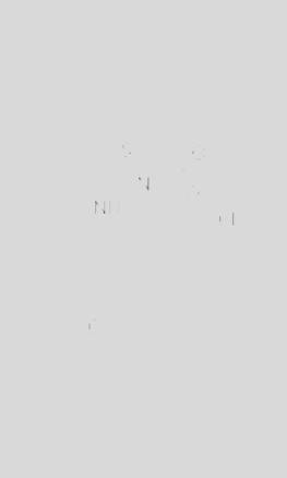 CCOC(=O)c1csc(CNCCCc2cccc(Cl)c2)n1